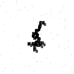 CC#CCOc1cc(OC(C)CC(C)(C)C)ncn1